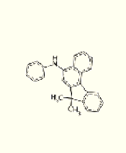 CC1(C)c2ccccc2-c2c1cc(Nc1ccccc1)c1ccccc21